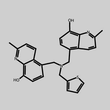 Cc1ccc2c(CN(Cc3cccs3)Cc3ccc(O)c4nc(C)ccc34)ccc(O)c2n1